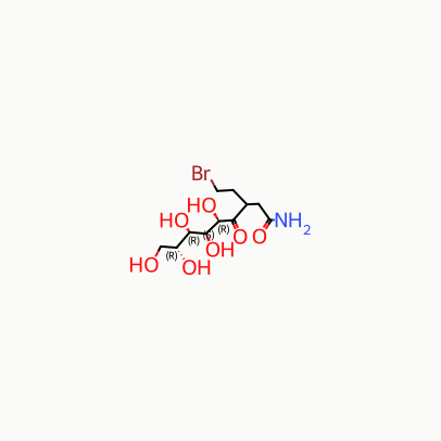 NC(=O)CC(CCBr)C(=O)[C@H](O)[C@@H](O)[C@H](O)[C@H](O)CO